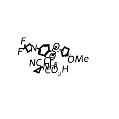 CO[C@@H]1CC[C@@H](S(=O)(=O)c2ccc(N3CC(F)(F)C3)cc2C(F)(F)F)C1.N#CC1(NC(=O)O)CC1